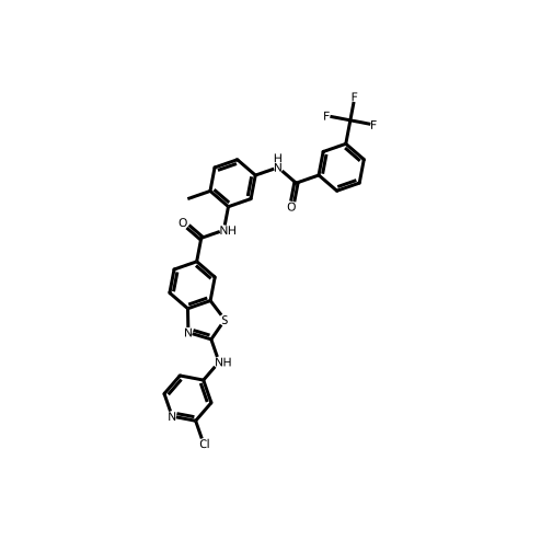 Cc1ccc(NC(=O)c2cccc(C(F)(F)F)c2)cc1NC(=O)c1ccc2nc(Nc3ccnc(Cl)c3)sc2c1